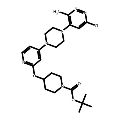 CC(C)(C)OC(=O)N1CCC(Oc2cc(N3CCN(c4cc(Cl)nnc4N)CC3)ccn2)CC1